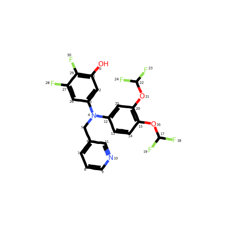 Oc1cc(N(Cc2cccnc2)c2ccc(OC(F)F)c(OC(F)F)c2)cc(F)c1F